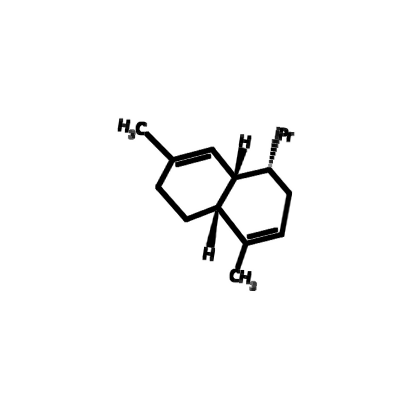 CC1=C[C@H]2[C@@H](CC1)C(C)=CC[C@H]2C(C)C